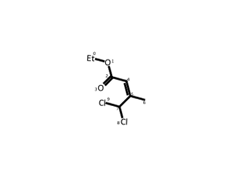 CCOC(=O)C=C(C)C(Cl)Cl